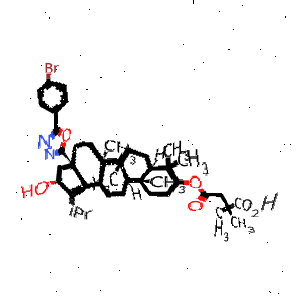 CC(C)C1=C2C3CC[C@@H]4[C@@]5(C)CCC(OC(=O)CC(C)(C)C(=O)O)C(C)(C)[C@@H]5CC[C@@]4(C)[C@]3(C)CC[C@@]2(c2nnc(-c3ccc(Br)cc3)o2)C[C@@H]1O